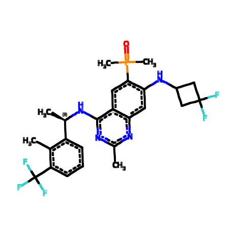 Cc1nc(N[C@H](C)c2cccc(C(F)(F)F)c2C)c2cc(P(C)(C)=O)c(NC3CC(F)(F)C3)cc2n1